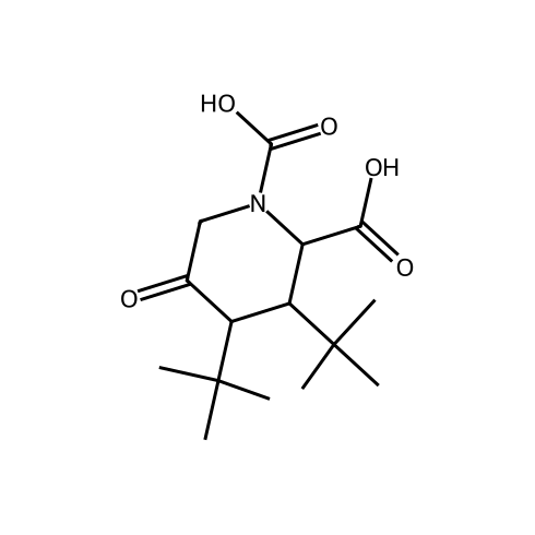 CC(C)(C)C1C(=O)CN(C(=O)O)C(C(=O)O)C1C(C)(C)C